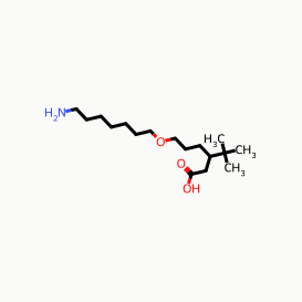 CC(C)(C)C(CCCOCCCCCCCN)CC(=O)O